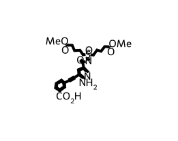 COC(=O)CCCCS(=O)(CCCCC(=O)OC)=NC(=O)c1cnc(N)c(C#Cc2cccc(C(=O)O)c2)c1